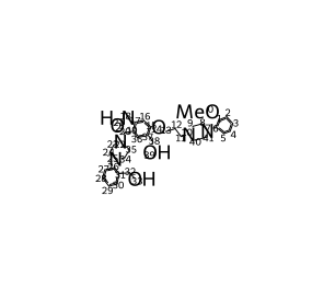 COc1ccccc1N1CCN(CCCOc2cc(N)c(C(=O)N3CCN(c4ccccc4CO)CC3)cc2CO)CC1